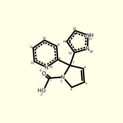 O=C(O)N1CC=CC1(c1ccccn1)c1cc[nH]n1